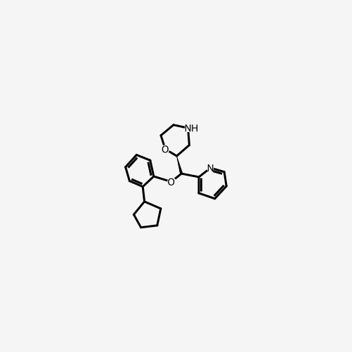 c1ccc(C(Oc2ccccc2C2CCCC2)[C@@H]2CNCCO2)nc1